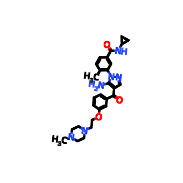 Cc1ccc(C(=O)NC2CC2)cc1-n1ncc(C(=O)c2cccc(OCCN3CCN(C)CC3)c2)c1N